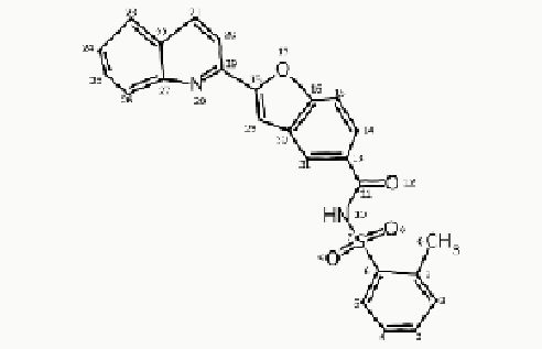 Cc1ccccc1S(=O)(=O)NC(=O)c1ccc2oc(-c3ccc4ccccc4n3)cc2c1